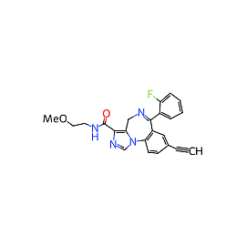 C#Cc1ccc2c(c1)C(c1ccccc1F)=NCc1c(C(=O)NCCOC)ncn1-2